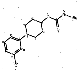 CC(C)(C)NC(=O)OC1CCN(c2cccc(Br)n2)CC1